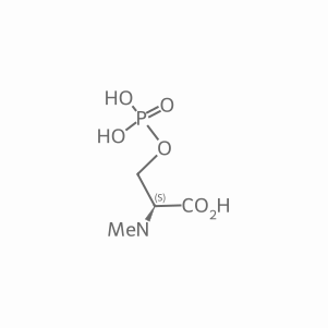 CN[C@@H](COP(=O)(O)O)C(=O)O